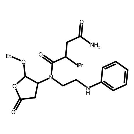 CCOC1OC(=O)CC1N(CCNc1ccccc1)C(=O)C(CC(N)=O)C(C)C